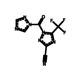 N#Cc1nc(C(F)(F)F)n(C(=O)n2cncn2)n1